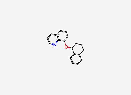 c1ccc2c(c1)CCCC2Oc1cccc2cccnc12